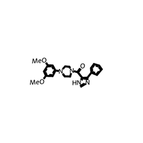 COc1cc(OC)cc(N2CCN(C(=O)c3[nH]cnc3-c3ccccc3)CC2)c1